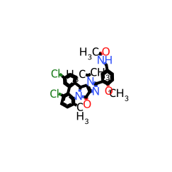 COc1ccc(CNC(C)=O)cc1-c1nc2c(n1C(C)C)C1c3ccc(Cl)cc3-c3c(Cl)ccc(C)c3N1C2=O